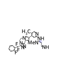 CN/C(=C\C=N)Nc1cc(-c2cc3n(c2)CCn2c-3nnc2C(F)(F)c2ccccc2F)c(C)cn1